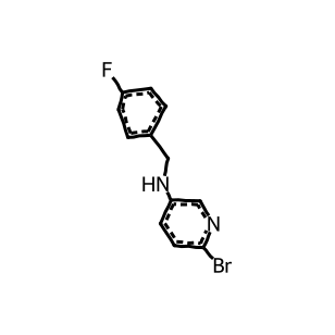 Fc1ccc(CNc2ccc(Br)nc2)cc1